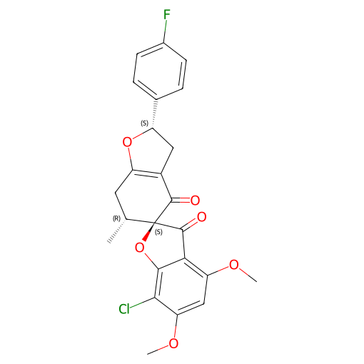 COc1cc(OC)c2c(c1Cl)O[C@@]1(C(=O)C3=C(C[C@H]1C)O[C@H](c1ccc(F)cc1)C3)C2=O